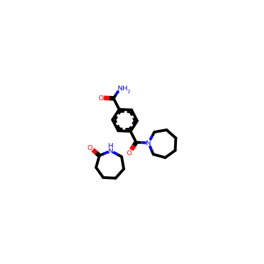 NC(=O)c1ccc(C(=O)N2CCCCCC2)cc1.O=C1CCCCCN1